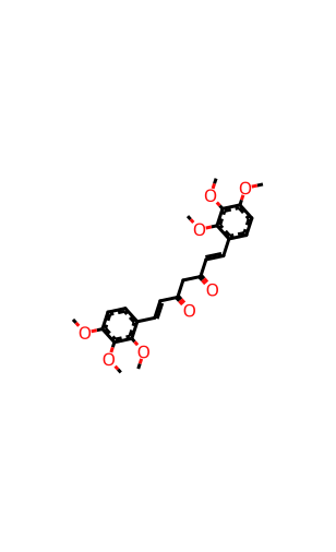 COc1ccc(C=CC(=O)CC(=O)C=Cc2ccc(OC)c(OC)c2OC)c(OC)c1OC